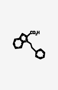 O=C(O)c1cc2ccccc2n1CCc1ccccc1